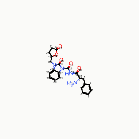 N[C@@H](Cc1ccccc1)C(=O)NC(=O)n1c(=O)n(CC2CCC(=O)O2)c2ccccc21